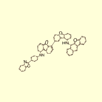 c1ccc2c(Nc3cccc4oc5ccc(-c6cccc7c6oc6cccc(Nc8ccc(-c9nc%10ccccc%10o9)cc8)c67)cc5c34)c3oc4ccccc4c3cc2c1